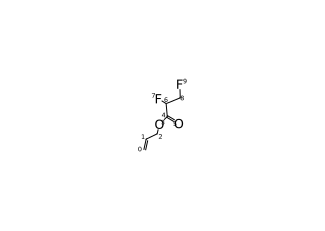 C=CCOC(=O)C(F)CF